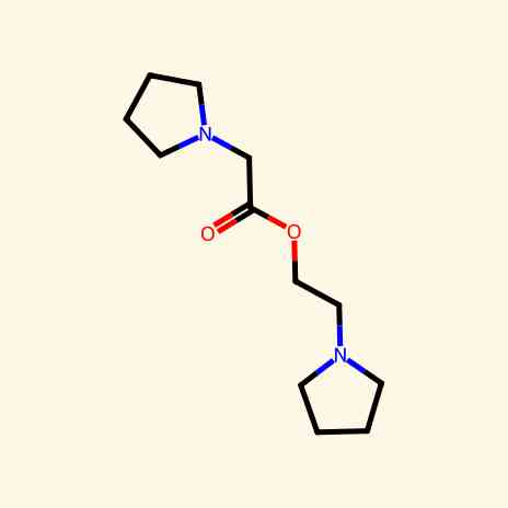 O=C(CN1CCCC1)OCCN1CCCC1